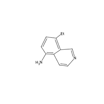 CCc1ccc(N)c2ccncc12